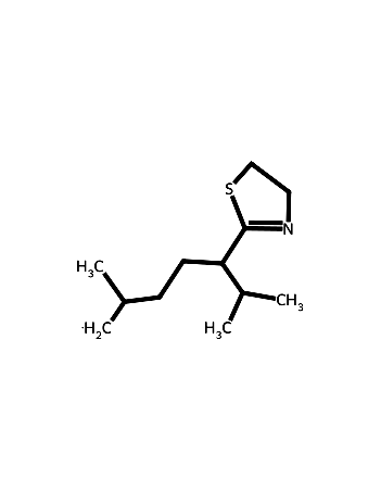 [CH2]C(C)CCC(C1=NCCS1)C(C)C